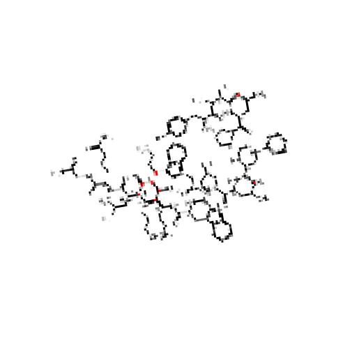 CCCC[C@@H](C(=O)N(C)[C@@H](CCCC)C(=O)N[C@@H](CC(C)C)C(=O)N[C@@H](CSCC(N)=O)C(=O)NCC(N)=O)N(C)C(=O)[C@H](Cc1cn(CC(=O)O)c2ccccc12)NC(=O)[C@H](CCN)NC(=O)[C@H](Cc1c[nH]c2ccccc12)NC(=O)[C@@H]1C[C@@H](O)CN1C(=O)[C@H](CC(C)C)NC(=O)[C@H](CNc1cnccn1)NC(=O)[C@@H]1CCCN1C(=O)[C@H](CC(N)=O)NC(=O)[C@H](C)N(C)C(=O)[C@@H](C)Cc1ccc(O)cc1